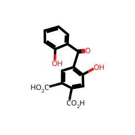 O=C(c1ccccc1O)c1cc(C(=O)O)c(C(=O)O)cc1O